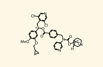 COc1ccc([C@@H](Cc2c(Cl)cncc2Cl)OC(=O)c2ccc(CN(C(=O)O[C@H]3CN4CCC3CC4)c3cccnc3)cc2)cc1OCC1CC1